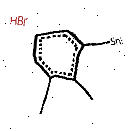 Br.Cc1ccc[c]([Sn])c1C